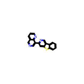 c1cnc2c(-c3cc4sc5ccccc5c4cn3)cncc2c1